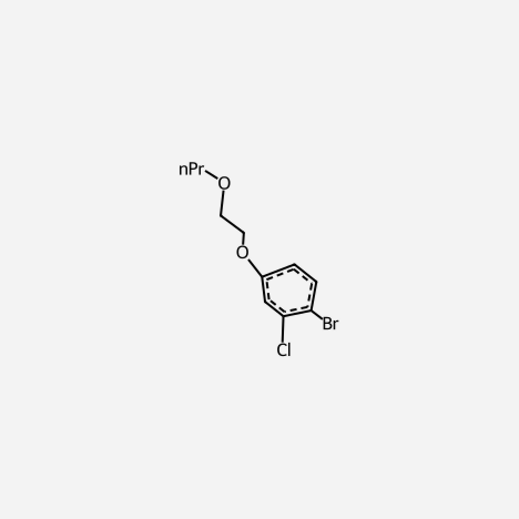 CCCOCCOc1ccc(Br)c(Cl)c1